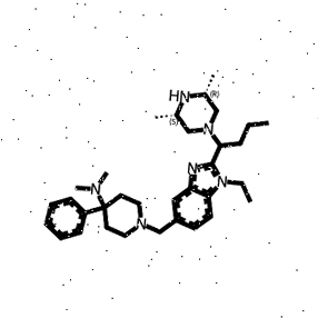 CCCC(c1nc2cc(CN3CCC(c4ccccc4)(N(C)C)CC3)ccc2n1CC)N1C[C@@H](C)N[C@@H](C)C1